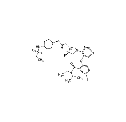 CCN(C(=O)c1cc(F)ccc1Oc1cncnc1N1C[C@@H](CNC[C@H]2CC[C@H](NS(=O)(=O)CC)CC2)[C@H](F)C1)C(C)C